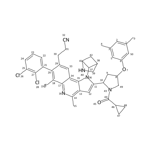 Cc1cc(C)cc(OC2CC(c3cc4c(C)nc5c(F)c(-c6cccc(Cl)c6Cl)c(CCC#N)cc5c4n3C3C4CNC3C4)N(C(=O)C3CC3)C2)c1